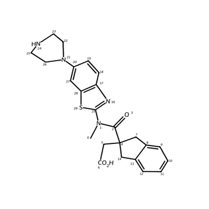 CN(C(=O)C1(CC(=O)O)Cc2ccccc2C1)c1nc2ccc(N3CCNCC3)cc2s1